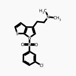 CN(C)CCc1cn(S(=O)(=O)c2cccc(Cl)c2)c2sccc12